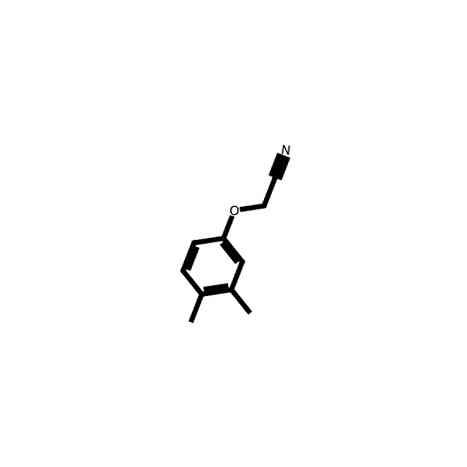 Cc1ccc(OCC#N)cc1C